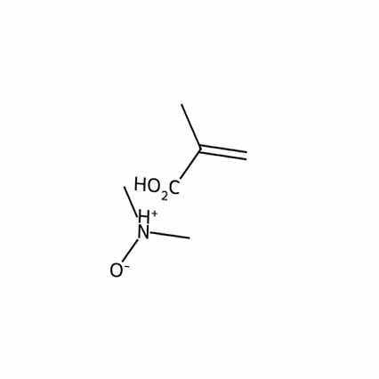 C=C(C)C(=O)O.C[NH+](C)[O-]